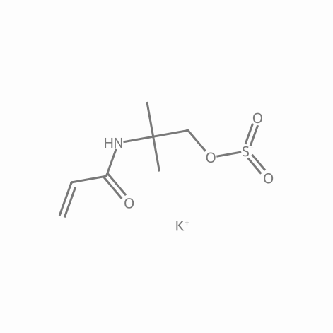 C=CC(=O)NC(C)(C)CO[S-](=O)=O.[K+]